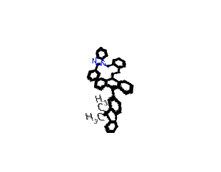 CC1(C)c2ccccc2-c2ccc(-c3c4ccccc4c(CCc4ccccc4Cn4c(-c5ccccc5)nc5ccccc54)c4ccccc34)cc21